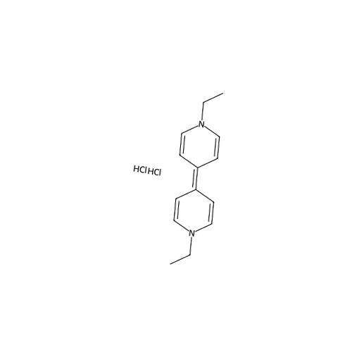 CCN1C=CC(=C2C=CN(CC)C=C2)C=C1.Cl.Cl